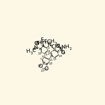 CN(C)c1cc(-c2cc3c(cc2-c2ccc(S(N)(=O)=O)cc2)OCO3)cc(N(C)C)c1C(F)(F)F